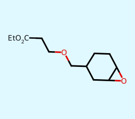 CCOC(=O)CCOCC1CCC2OC2C1